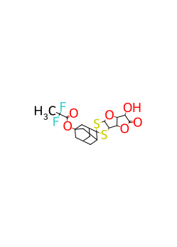 CC(F)(F)C(=O)OC12CC3CC(C1)C1(SC4OC5C(O)C(=O)OC5C4S1)C(C3)C2